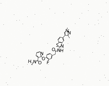 Cc1nn(C)cc1-c1ccc2sc(NC(=O)Cc3ccc(Oc4ncccc4C(N)=O)c(F)c3)nc2c1